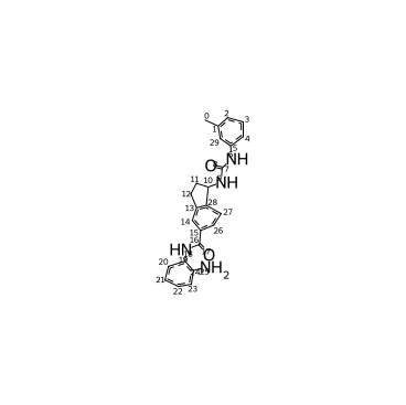 Cc1cccc(NC(=O)NC2CCc3cc(C(=O)Nc4ccccc4N)ccc32)c1